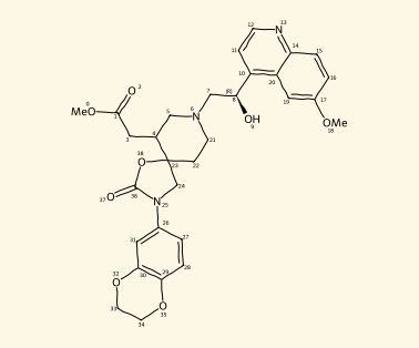 COC(=O)CC1CN(C[C@H](O)c2ccnc3ccc(OC)cc23)CCC12CN(c1ccc3c(c1)OCCO3)C(=O)O2